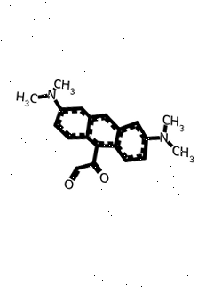 CN(C)c1ccc2c(C(=O)C=O)c3ccc(N(C)C)cc3cc2c1